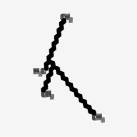 C=CCCCCCCCCCCCC(C=C(CCCCCCC=C)CCCCCCCCCCCCCCCC=CC)CCC